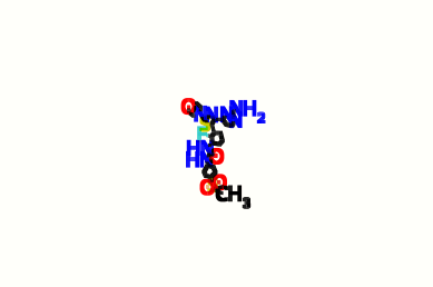 CCS(=O)(=O)c1ccc(NC(=O)Nc2cccc(-c3sc(N4CCOCC4)nc3-c3ccnc(N)n3)c2F)cc1